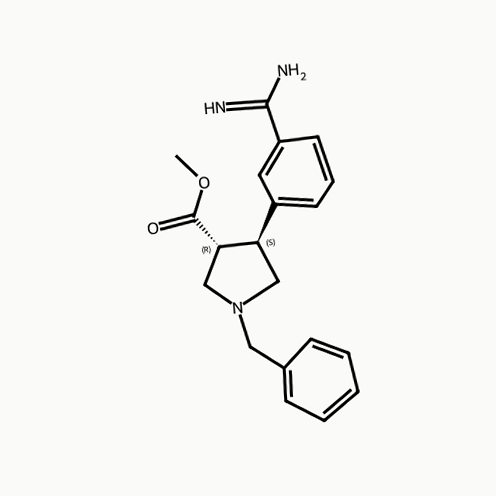 COC(=O)[C@H]1CN(Cc2ccccc2)C[C@@H]1c1cccc(C(=N)N)c1